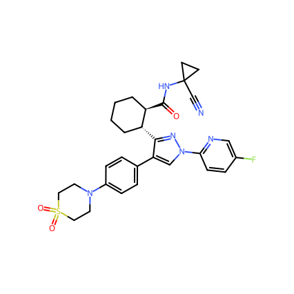 N#CC1(NC(=O)[C@@H]2CCCC[C@H]2c2nn(-c3ccc(F)cn3)cc2-c2ccc(N3CCS(=O)(=O)CC3)cc2)CC1